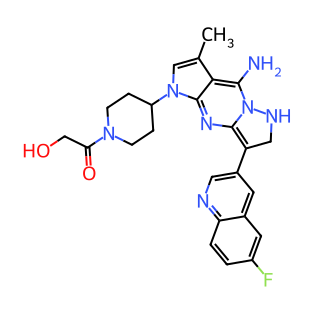 Cc1cn(C2CCN(C(=O)CO)CC2)c2c1=C(N)N1NCC(c3cnc4ccc(F)cc4c3)=C1N=2